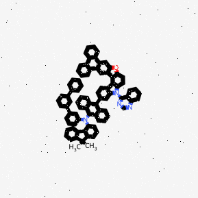 CC1(C)c2ccccc2-c2c(N(c3cccc(-c4cccc(-c5ccccc5)c4)c3)c3c4ccccc4c(-c4ccc5c6c7c(ccc6n(-c6ncnc8ccccc68)c5c4)oc4cc5c6ccccc6c6ccccc6c5cc47)c4ccccc34)cccc21